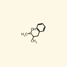 CC(Cc1ccccc1)N(C)O